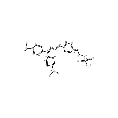 CN(C)c1ccc(C(=NN=Cc2cc[n+](CCCS(=O)(=O)O)cc2)c2ccc(N(C)C)cc2)cc1